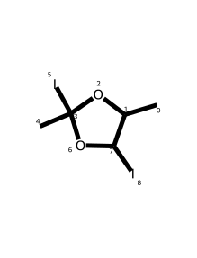 CC1OC(C)(I)OC1I